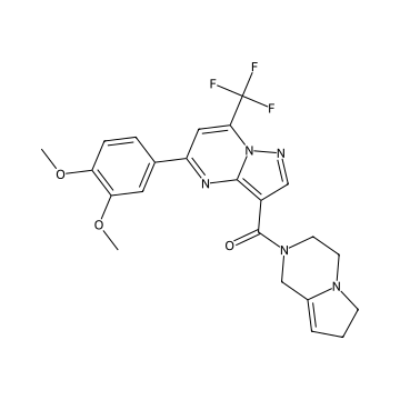 COc1ccc(-c2cc(C(F)(F)F)n3ncc(C(=O)N4CCN5CCC=C5C4)c3n2)cc1OC